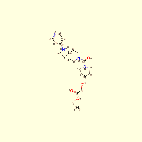 CCOC(=O)COCC1CCN(C(=O)N2CCC3(CC2)CCN(c2ccncc2)C3)CC1